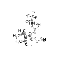 [2H]CC(CNC(=O)C(F)(F)F)COP(OCCC#N)N(C(C)C)C(C)C